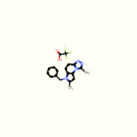 Cc1nnc2ccc3c(cc(C(F)(F)F)n3Cc3ccccc3)n12.O=C(O)C(F)(F)F